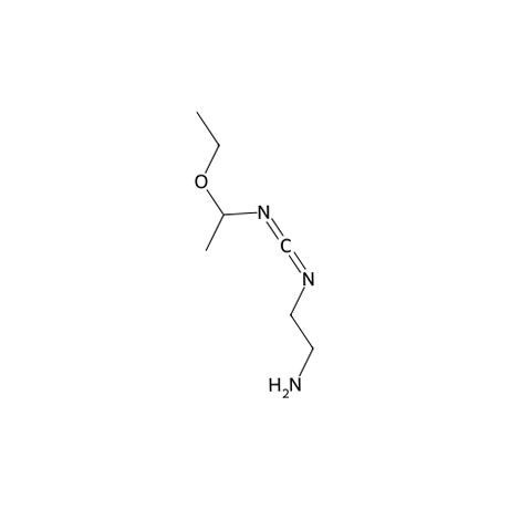 CCOC(C)N=C=NCCN